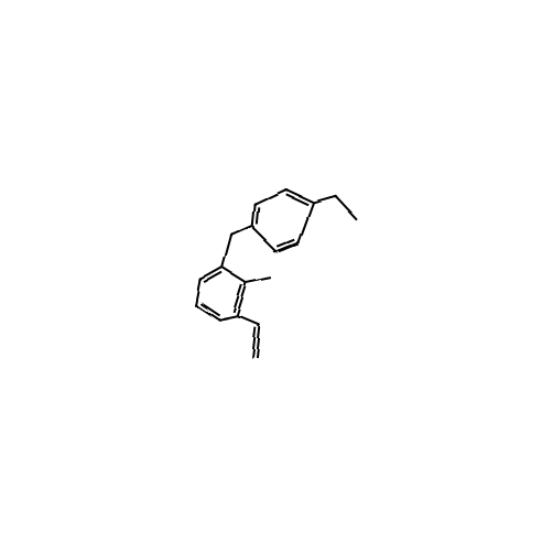 C=Cc1cccc(Cc2ccc(CC)cc2)c1C